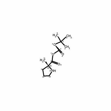 CC(C)(C)OC(=O)OC(=O)[C@@]1(C)CCCN1